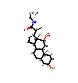 C[C@H](C(=O)NCC(=O)O)[C@H]1CCC2C3CCC4C[C@H](O)CC[C@]4(C)C3C[C@H](O)[C@@]21C